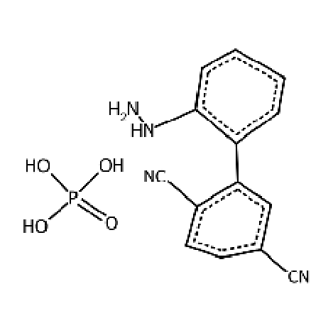 N#Cc1ccc(C#N)c(-c2ccccc2NN)c1.O=P(O)(O)O